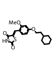 COc1cc(OCCC2CCCCC2)ccc1/C=C1\SC(=O)NC1=O